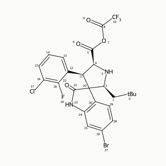 CC(C)(C)C[C@@H]1N[C@H](C(=O)OC(=O)C(F)(F)F)[C@H](c2cccc(Cl)c2F)C12C(=O)Nc1cc(Br)ccc12